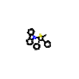 Cc1sc(-n2c3ccccc3c3ccccc32)c(-c2ccccc2)c1-c1ccccc1